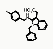 O=C(O)Cc1c(NCc2ccc(F)cc2)n(Cc2ccccc2)c2ccccc12